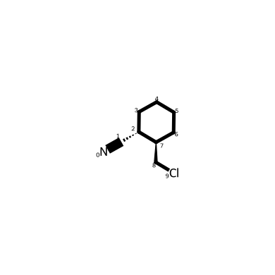 N#C[C@@H]1CCCC[C@H]1CCl